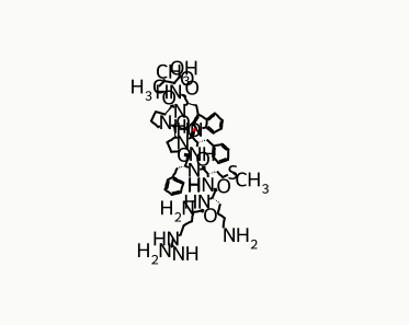 CSCC[C@H](NC(=O)[C@H](CCCCN)NC(=O)[C@@H](N)CCCNC(=N)N)C(=O)N[C@H](Cc1ccccc1)C(=O)N[C@@H](Cc1ccccc1)C(=O)N1CCC[C@H]1C(=O)N1CCC[C@H]1C(=O)N[C@H](Cc1c[nH]c2ccccc12)C(=O)N[C@H](C(=O)O)C(C)C